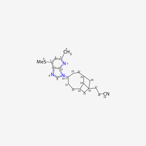 CSc1cc(C)nc2c1ncn2C1CCC2CC3(CCC#N)CC(CC1)C23